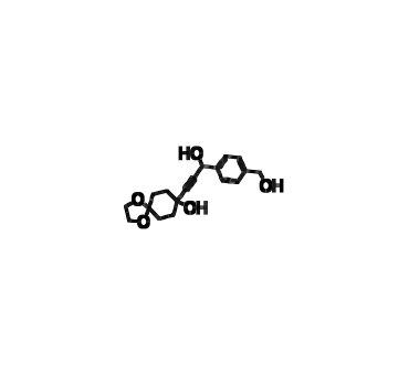 OCc1ccc(C(O)C#CC2(O)CCC3(CC2)OCCO3)cc1